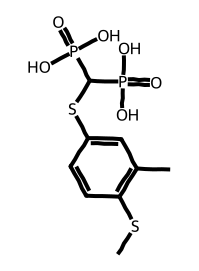 CSc1ccc(SC(P(=O)(O)O)P(=O)(O)O)cc1C